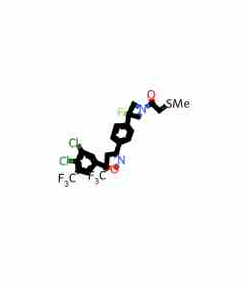 CSCC(=O)N1CC(F)(c2ccc(C3=NOC(c4cc(Cl)c(Cl)c(C(F)(F)F)c4)(C(F)(F)F)C3)cc2)C1